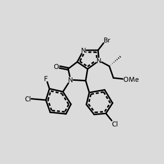 COC[C@@H](C)n1c(Br)nc2c1C(c1ccc(Cl)cc1)N(c1cccc(Cl)c1F)C2=O